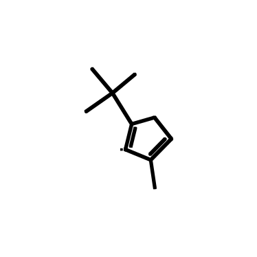 CC1=CCC(C(C)(C)C)=[C]1